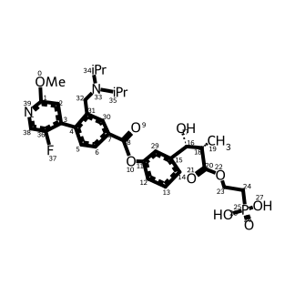 COc1cc(-c2ccc(C(=O)Oc3cccc([C@H](O)[C@H](C)C(=O)OCCP(=O)(O)O)c3)cc2CN(C(C)C)C(C)C)c(F)cn1